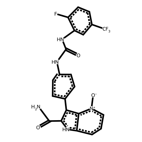 NC(=O)c1[nH]c2ccc[n+]([O-])c2c1-c1ccc(NC(=O)Nc2cc(C(F)(F)F)ccc2F)cc1